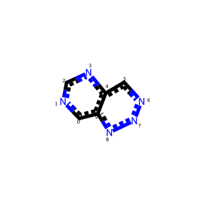 [c]1ncnc2cnnnc12